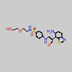 Nc1ccc2ncsc2c1/C(C=O)=C/Nc1ccc(S(=O)(=O)NCCOCCO)cc1